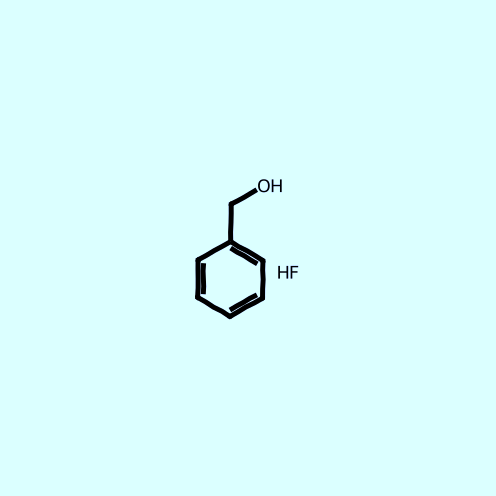 F.OCc1ccccc1